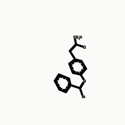 CCC(Oc1ccc(CC(Cl)C(=O)O)cc1)c1ccccc1